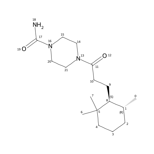 C[C@@H]1CCCC(C)(C)[C@H]1CCC(=O)N1CCN(C(N)=O)CC1